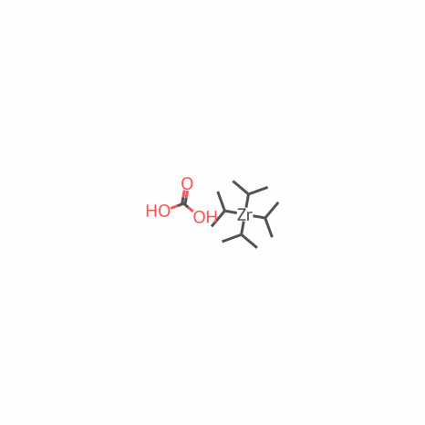 C[CH](C)[Zr]([CH](C)C)([CH](C)C)[CH](C)C.O=C(O)O